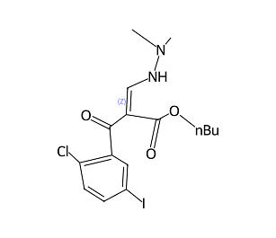 CCCCOC(=O)/C(=C\NN(C)C)C(=O)c1cc(I)ccc1Cl